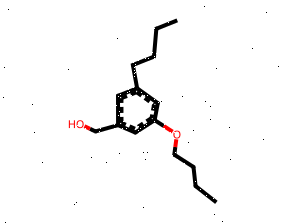 CCCCOc1cc([CH]O)cc(CCCC)c1